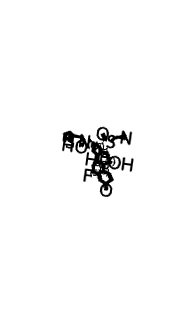 C[C@]12C[C@H](O)[C@@]3(F)[C@@H](C[C@H](F)C4=CC(=O)C=C[C@@]43C)C1C[C@@H](CN(O)Cc1cccs1)[C@@H]2C(=O)SCC#N